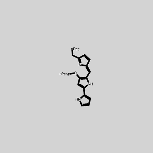 CCCCCCCCCCCC1=NC(=Cc2[nH]c(-c3ccc[nH]3)cc2OCCCCC)C=C1